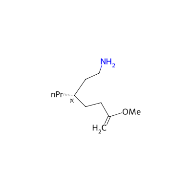 C=C(CC[C@H](CCC)CCN)OC